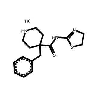 Cl.O=C(NC1=NCCS1)C1(Cc2ccccc2)CCNCC1